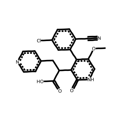 COc1c[nH]c(=O)c(C(Cc2ccncc2)C(=O)O)c1-c1cc(Cl)ccc1C#N